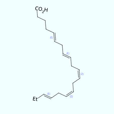 CC/C=C/C/C=C\C/C=C\C/C=C/C/C=C/CCCC(=O)O